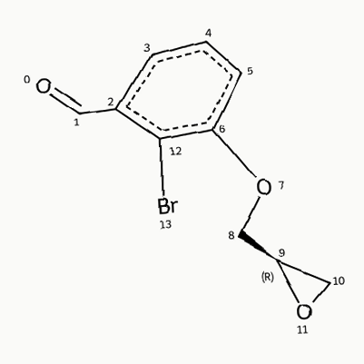 O=Cc1cccc(OC[C@H]2CO2)c1Br